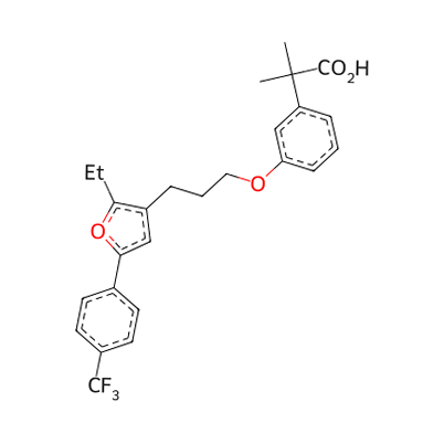 CCc1oc(-c2ccc(C(F)(F)F)cc2)cc1CCCOc1cccc(C(C)(C)C(=O)O)c1